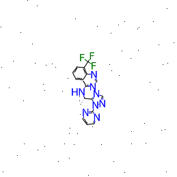 C[C@H](Nc1ncnc2c(C(F)(F)F)cccc12)c1ncnn1-c1ncccn1